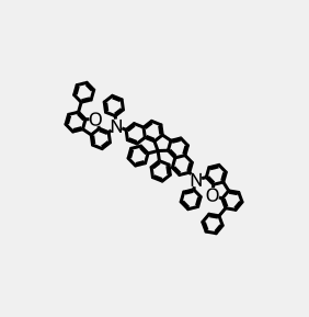 c1ccc(-c2cccc3c2oc2c(N(c4ccccc4)c4ccc5c6c(ccc5c4)-c4ccc5cc(N(c7ccccc7)c7cccc8c7oc7c(-c9ccccc9)cccc78)ccc5c4C6(c4ccccc4)c4ccccc4)cccc23)cc1